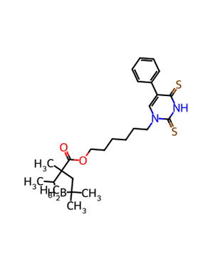 BC(C)(C)CC(C)(C(=O)OCCCCCCn1cc(-c2ccccc2)c(=S)[nH]c1=S)C(C)C